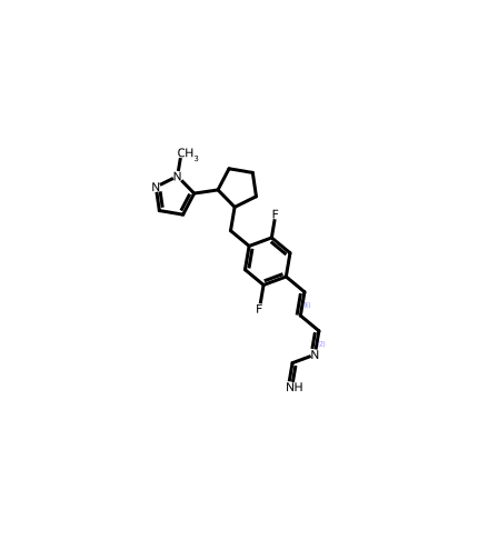 Cn1nccc1C1CCCC1Cc1cc(F)c(/C=C/C=N\C=N)cc1F